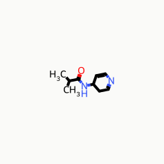 CC(C)C(=O)NC1C=CN=CC1